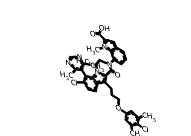 Cc1cc(OCCCc2c3n(c4c(-c5c(C)ncnc5C)c(Cl)ccc24)[C@H](C)CN(c2cccc4cc(C(=O)O)n(C)c24)C3=O)cc(C)c1Cl